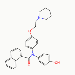 O=C(c1cccc2ccccc12)N(c1ccc(O)cc1)c1ccc(OCCN2CCCCC2)cc1